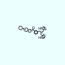 O=C(c1cccc(CN(Cc2ncc[nH]2)Cc2ncc[nH]2)c1)N1CCC2(CCN(C3CCCCC3)CC2)C1